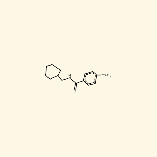 [CH2]c1ccc(C(=O)NCC2CCCCC2)cc1